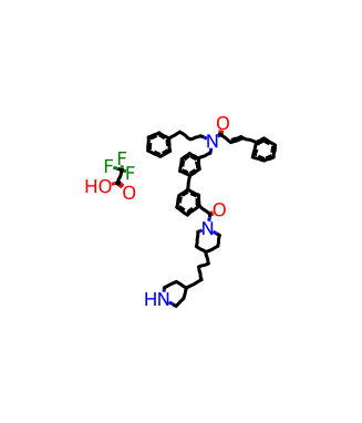 O=C(C=Cc1ccccc1)N(CCCc1ccccc1)Cc1cccc(-c2cccc(C(=O)N3CCC(CCCC4CCNCC4)CC3)c2)c1.O=C(O)C(F)(F)F